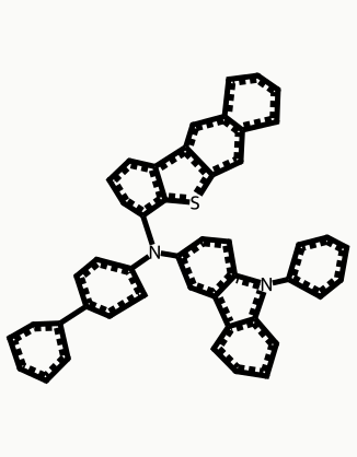 c1ccc(-c2ccc(N(c3ccc4c(c3)c3ccccc3n4-c3ccccc3)c3cccc4c3sc3cc5ccccc5cc34)cc2)cc1